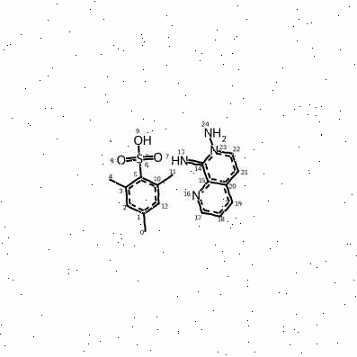 Cc1cc(C)c(S(=O)(=O)O)c(C)c1.N=c1c2ncccc2ccn1N